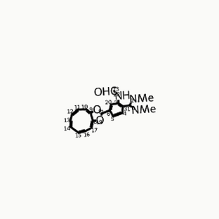 CNC(NC)c1ccc(C2Oc3ccccccccc3O2)cc1NC=O